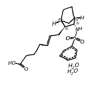 O.O.O=C(O)CCCC=CC[C@H]1[C@@H]2CC[C@@H](C2)[C@@H]1NS(=O)(=O)c1ccccc1